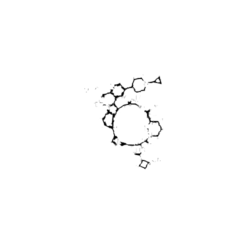 CCn1c(-c2cc(C3CCN(C4CC4)CC3)cnc2[C@H](C)OC)c2c3cc(ccc31)-c1csc(n1)C[C@H](NC(=O)[C@@H]1CC[C@H]1C#N)C(=O)N1CCC[C@@](O)(N1)C(=O)OCC(C)(C)C2